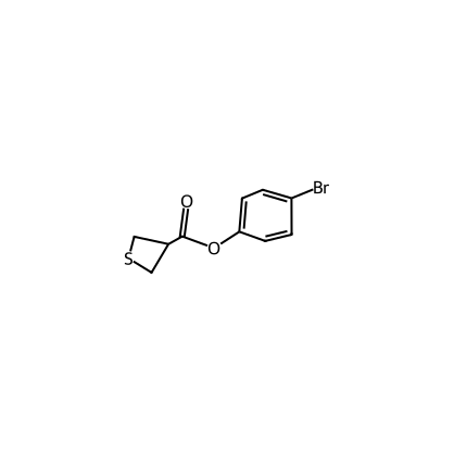 O=C(Oc1ccc(Br)cc1)C1CSC1